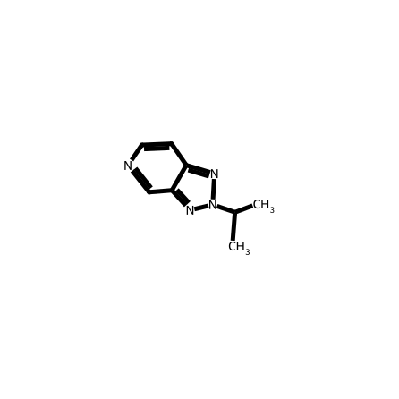 CC(C)n1nc2ccncc2n1